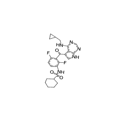 O=C(c1c(F)ccc(NS(=O)(=O)C2CCCCC2)c1F)c1c[nH]c2ncnc(NCC3CC3)c12